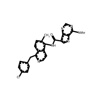 CNc1ncnc2c(C(=O)Nc3c(C)ccc4c(Cc5ccc(Cl)cc5)nccc34)csc12